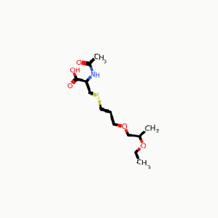 CCOC(C)COCCCSCC(NC(C)=O)C(=O)O